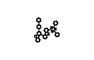 c1ccc(-c2ccc(-c3cc(-c4cccc5sc6c(-c7nc(-c8ccccc8)nc(-c8ccccc8)n7)cccc6c45)c4c(c3)oc3ccccc34)cc2)cc1